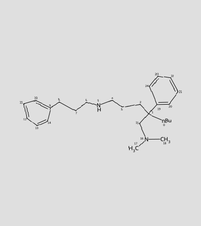 CCCCC(CCCNCCCc1ccccc1)(CN(C)C)c1ccccc1